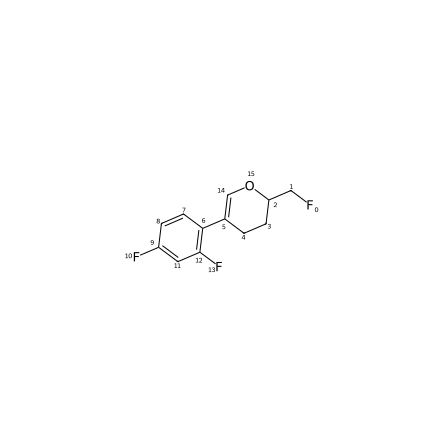 FCC1CCC(c2ccc(F)cc2F)=CO1